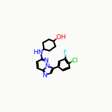 OC1CCC(Nc2ccc3ncc(-c4ccc(Cl)c(F)c4)n3n2)CC1